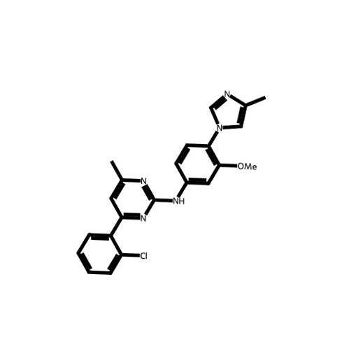 COc1cc(Nc2nc(C)cc(-c3ccccc3Cl)n2)ccc1-n1cnc(C)c1